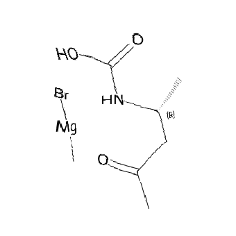 CC(=O)C[C@@H](C)NC(=O)O.[CH3][Mg][Br]